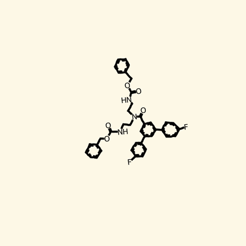 O=C(NCCN(CCNC(=O)OCc1ccccc1)C(=O)c1cc(-c2ccc(F)cc2)cc(-c2ccc(F)cc2)c1)OCc1ccccc1